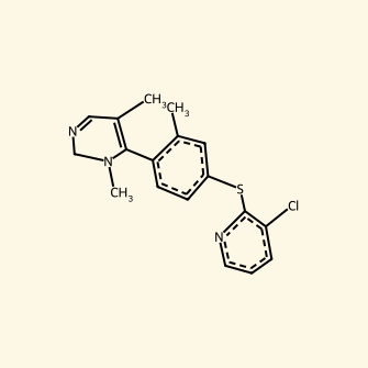 CC1=C(c2ccc(Sc3ncccc3Cl)cc2C)N(C)CN=C1